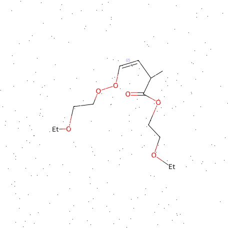 CCOCCOO/C=C\C(C)C(=O)OCCOCC